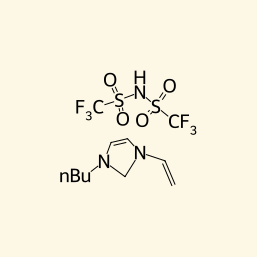 C=CN1C=CN(CCCC)C1.O=S(=O)(NS(=O)(=O)C(F)(F)F)C(F)(F)F